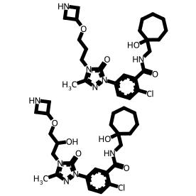 Cc1nn(-c2ccc(Cl)c(C(=O)NCC3(O)CCCCCC3)c2)c(=O)n1CC(O)COC1CNC1.Cc1nn(-c2ccc(Cl)c(C(=O)NCC3(O)CCCCCC3)c2)c(=O)n1CCCOC1CNC1